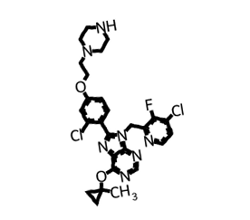 CC1(Oc2ncnc3c2nc(-c2ccc(OCCN4CCNCC4)cc2Cl)n3Cc2nccc(Cl)c2F)CC1